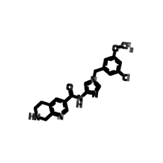 O=C(Nc1cn(Cc2cc(Cl)cc(OC(F)(F)F)c2)cn1)c1cnc2c(c1)CCNC2